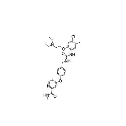 CCN(CC)CCOc1cc(Cl)c(C)cc1NC(=O)NCc1ccc(Oc2ccnc(C(=O)NC)c2)cc1